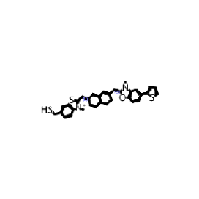 CN1/C(=C/C2=CC3=C/C(=C/c4sc5cc(CS)ccc5[n+]4C)CCC3CC2)Oc2ccc(-c3cccs3)cc21